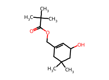 CC1(C)CC(COC(=O)C(C)(C)C)=CC(O)C1